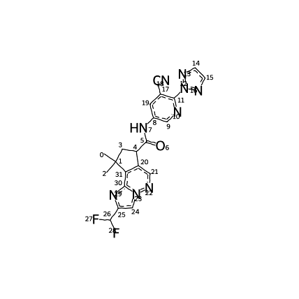 CC1(C)CC(C(=O)Nc2cnc(-n3nccn3)c(C#N)c2)c2cnn3cc(C(F)F)nc3c21